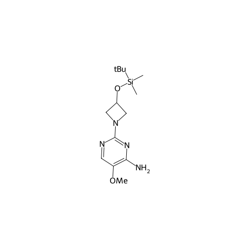 COc1cnc(N2CC(O[Si](C)(C)C(C)(C)C)C2)nc1N